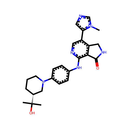 Cn1cncc1-c1cnc(Nc2ccc(N3CCC[C@@H](C(C)(C)O)C3)cc2)c2c1CNC2=O